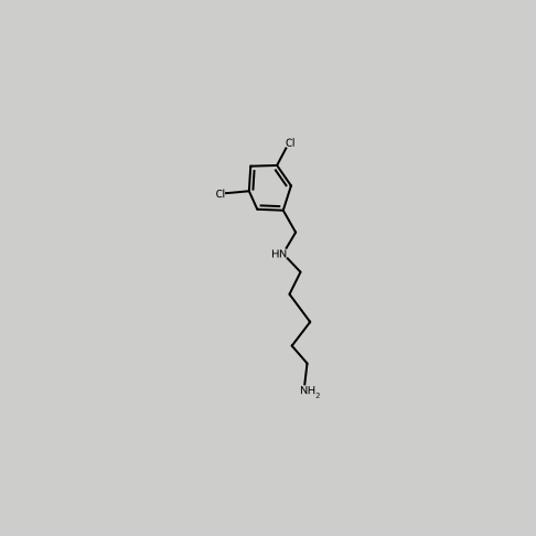 NCCCCCNCc1cc(Cl)cc(Cl)c1